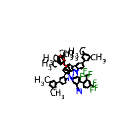 Cc1cc(C)cc(-c2ccc3c(c2)c2cc(-c4cc(C)cc(C)c4)ccc2n3-c2cc(C#N)c(-c3ccc(C(F)(F)F)cc3C(F)(F)F)cc2-n2c3ccc(-c4cc(C)cc(C)c4)cc3c3cc(-c4cc(C)cc(C)c4)ccc32)c1